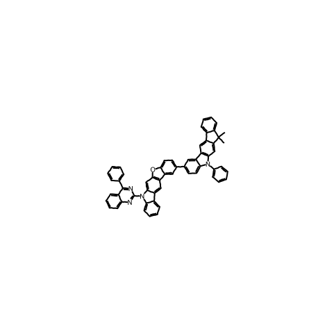 CC1(C)c2ccccc2-c2cc3c4cc(-c5ccc6oc7cc8c(cc7c6c5)c5ccccc5n8-c5nc(-c6ccccc6)c6ccccc6n5)ccc4n(-c4ccccc4)c3cc21